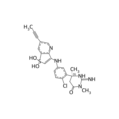 CC#Cc1cnc2c(c1)S(O)(O)C=C2Nc1ccc(Cl)c([C@]2(C)CC(=O)N(C)C(=N)N2)c1